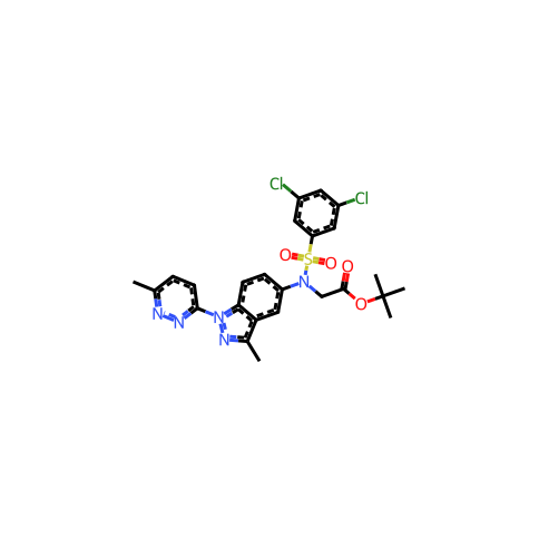 Cc1ccc(-n2nc(C)c3cc(N(CC(=O)OC(C)(C)C)S(=O)(=O)c4cc(Cl)cc(Cl)c4)ccc32)nn1